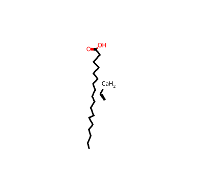 C=CC.CCCCCCCCCCCCCCCCCC(=O)O.[CaH2]